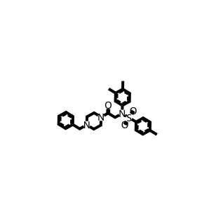 Cc1ccc(S(=O)(=O)N(CC(=O)N2CCN(Cc3ccccc3)CC2)c2ccc(C)c(C)c2)cc1